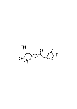 C=NCC1=CC2(CN(C(=O)Cc3ccc(F)c(F)c3)C2)CC(C)(C)C1=O